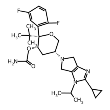 CC(C)n1c(C2CC2)nc2c1CN([C@H]1CO[C@@](c3cc(F)ccc3F)(C(C)(C)C)[C@@H](OC(N)=O)C1)C2